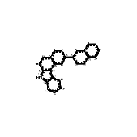 c1ccc2cc(-c3ccc4ccc5[nH]c6ccccc6c5c4c3)ccc2c1